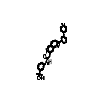 CC(C)(O)c1cccc(NC(=O)Cc2cc3nc(-c4cccc(-c5ccncc5)c4)ccc3cn2)c1